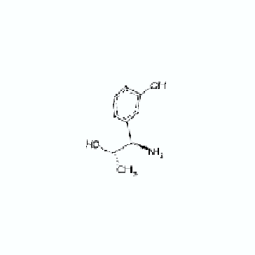 C[C@H](O)[C@H](N)c1cccc(O)c1